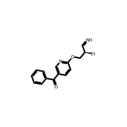 CC[C@H](C=N)COc1ccc(C(=O)c2ccccc2)cn1